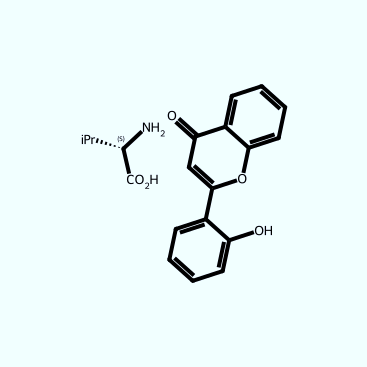 CC(C)[C@H](N)C(=O)O.O=c1cc(-c2ccccc2O)oc2ccccc12